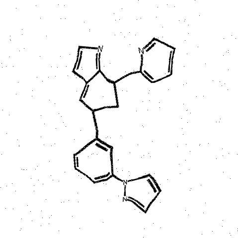 C1=CC2=CC(c3cccc(-n4cccn4)c3)CC(c3ccccn3)C2=N1